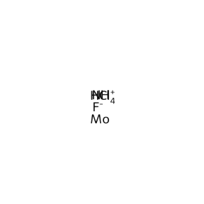 Cl.[F-].[Mo].[NH4+]